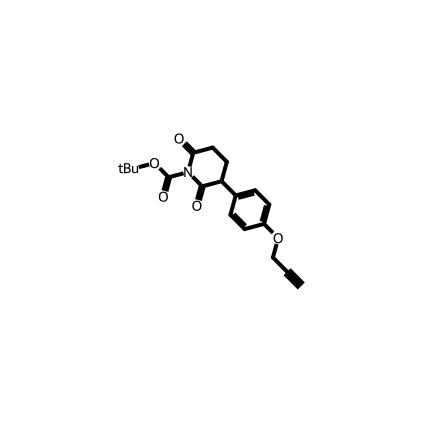 C#CCOc1ccc(C2CCC(=O)N(C(=O)OC(C)(C)C)C2=O)cc1